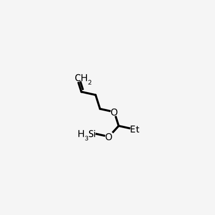 C=CCCOC(CC)O[SiH3]